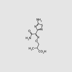 CC(CON=C(C(N)=O)c1nsc(N)n1)C(=O)O